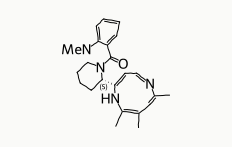 CNc1ccccc1C(=O)N1CCCC[C@H]1c1ccnc(C)cc(C)c(C)[nH]1